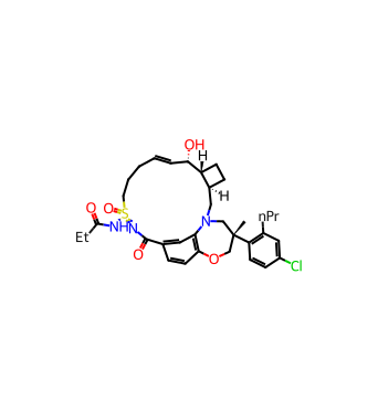 CCCc1cc(Cl)ccc1[C@]1(C)COc2ccc3cc2N(C[C@@H]2CC[C@H]2[C@@H](O)/C=C/CCC[S@](=O)(NC(=O)CC)=NC3=O)C1